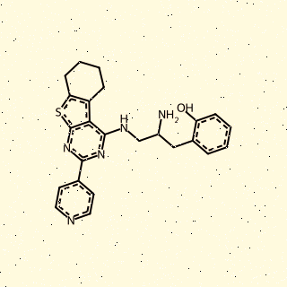 NC(CNc1nc(-c2ccncc2)nc2sc3c(c12)CCCC3)Cc1ccccc1O